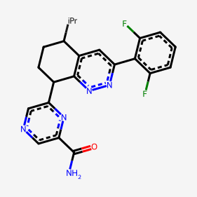 CC(C)C1CCC(c2cncc(C(N)=O)n2)c2nnc(-c3c(F)cccc3F)cc21